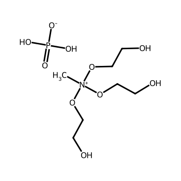 C[N+](OCCO)(OCCO)OCCO.O=P([O-])(O)O